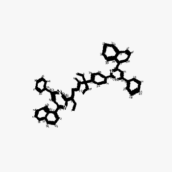 C=C/C(=C\C=C(/C)C(CC)(CC)c1ccc(-c2nc(-c3ccccc3)cc(-c3cccc4ccccc34)n2)cc1)c1nc(-c2ccccc2)cc(-c2cccc3ccccc23)n1